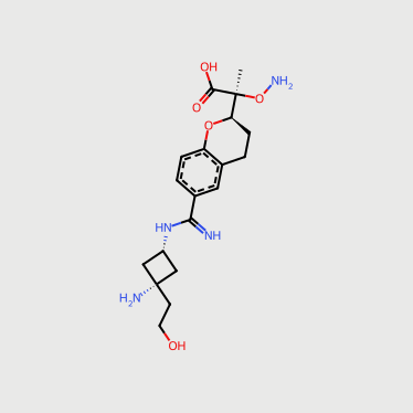 C[C@@](ON)(C(=O)O)[C@H]1CCc2cc(C(=N)N[C@H]3C[C@](N)(CCO)C3)ccc2O1